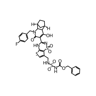 O=C(NS(=O)(=O)NCc1csc2c1S(=O)(=O)N=C(C1=C(O)C3C([C@@H]4CC[C@H]3C4)N(Cc3ccc(F)cc3)C1=O)N2)OCc1ccccc1